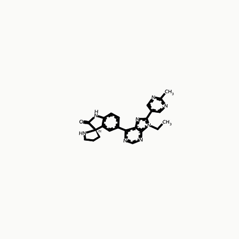 CCn1c(-c2cnc(C)nc2)nc2c(-c3ccc4c(c3)[C@@]3(CCCN3)C(=O)N4)ncnc21